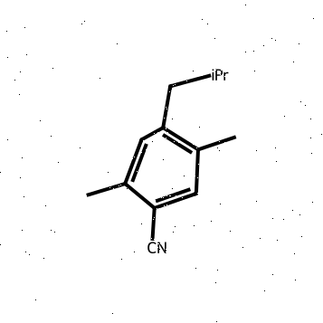 Cc1cc(CC(C)C)c(C)cc1C#N